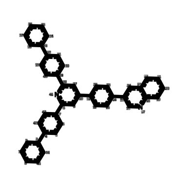 c1ccc(-c2ccc(-c3cc(-c4ccc(-c5cnc6ccccc6c5)cc4)cc(-c4ccc(-c5ccccc5)cc4)n3)cc2)cc1